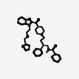 CN(CC(CCN1CCC(C(=O)c2nc3ccccc3n2CCOCc2ccco2)CC1)c1ccccc1)C(=O)c1ccccc1